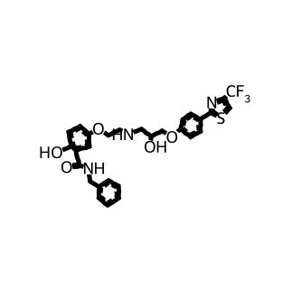 O=C(NCc1ccccc1)c1cc(OCCNCC(O)COc2ccc(-c3nc(C(F)(F)F)cs3)cc2)ccc1O